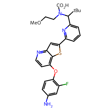 COCCN(C(=O)O)C(c1cccc(-c2cc3nccc(Oc4ccc(N)cc4F)c3s2)n1)C(C)(C)C